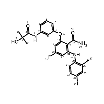 CC(C)(O)C(=O)Nc1cccc(Oc2cc(F)cc(Nc3ccc(I)cc3F)c2C(N)=O)c1